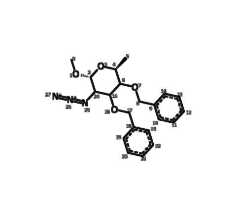 CO[C@@H]1O[C@@H](C)C(OCc2ccccc2)C(OCc2ccccc2)C1N=[N+]=[N-]